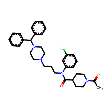 CC(=O)N1CCC(C(=O)N(CCCN2CCN(C(c3ccccc3)c3ccccc3)CC2)c2cccc(Cl)c2)CC1